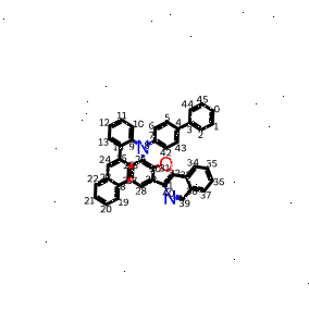 c1ccc(-c2ccc(N(c3ccccc3-c3ccc4ccccc4c3)c3cccc4c3oc3c5ccccc5cnc43)cc2)cc1